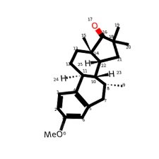 COc1ccc2c(c1)C[C@@H](C)[C@@H]1[C@@H]2CC[C@]2(C)C(=O)C(C)(C)C[C@H]12